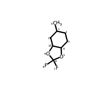 CC1CCC2OC(F)(F)OC2C1